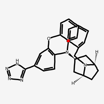 c1ccc(CN2[C@@H]3CC[C@H]2C[C@@H](N2c4ccccc4Oc4cc(-c5nnn[nH]5)ccc42)C3)nc1